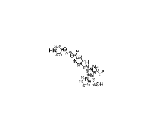 CCc1cnn2c(NCc3ccc(C(C)OCCOC4CCNCC4)nc3)cc(N3CCCC[C@H]3CCO)nc12